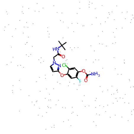 CC(C)(C)NC(=O)Cn1ccc(Oc2cc(F)c(OC(N)=O)cc2Cl)n1